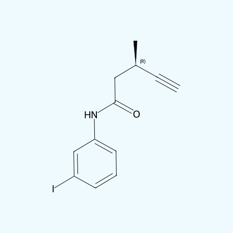 C#C[C@H](C)CC(=O)Nc1cccc(I)c1